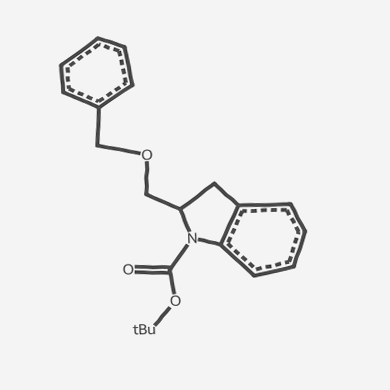 CC(C)(C)OC(=O)N1c2ccccc2CC1COCc1ccccc1